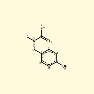 CC(C)C(=O)N(C)Cc1ccc(O)cc1